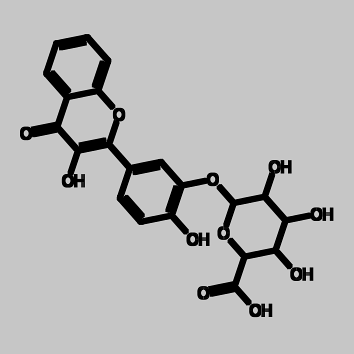 O=C(O)C1OC(Oc2cc(-c3oc4ccccc4c(=O)c3O)ccc2O)C(O)C(O)C1O